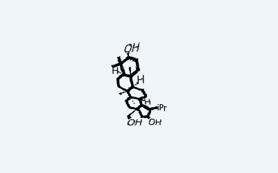 CC(C)C1=C2[C@H]3CC[C@@H]4[C@@]5(C)CC[C@H](O)C(C)(C)[C@@H]5CC[C@@]4(C)[C@]3(C)CC[C@@]2(CO)CC1O